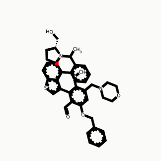 COc1c(CN2CCOCC2)cc(OCc2ccccc2)c(C=O)c1-c1csc2cccc(-c3ccccc3C(C)N3CCC[C@@H]3CO)c12